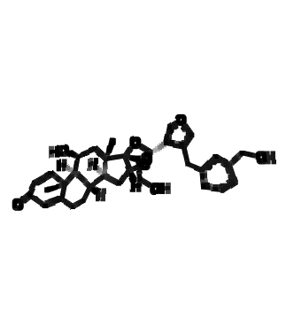 C[C@]12C=CC(=O)C=C1CC[C@@H]1[C@@H]2[C@@H](O)C[C@@]2(C)[C@H]1C[C@H]1O[C@@H](c3cocc3Cc3cccc(CO)c3)O[C@]12C(=O)CO